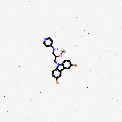 O=NOC(CNc1ccncc1)Cn1c2ccc(Br)cc2c2cc(Br)ccc21